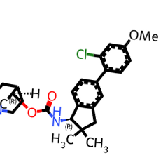 COc1ccc(-c2ccc3c(c2)CC(C)(C)[C@H]3NC(=O)O[C@H]2CN3CCC2CC3)c(Cl)c1